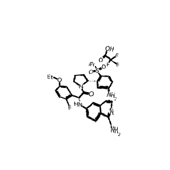 CCOc1ccc(F)c([C@@H](Nc2ccc3c(N)nccc3c2)C(=O)N2CCC[C@@H]2c2cc(N)ccc2S(=O)(=O)C(C)C)c1.O=C(O)C(F)(F)F